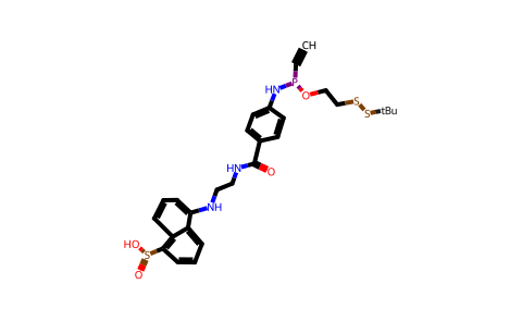 C#CP(Nc1ccc(C(=O)NCCNc2cccc3c(S(=O)O)cccc23)cc1)OCCSSC(C)(C)C